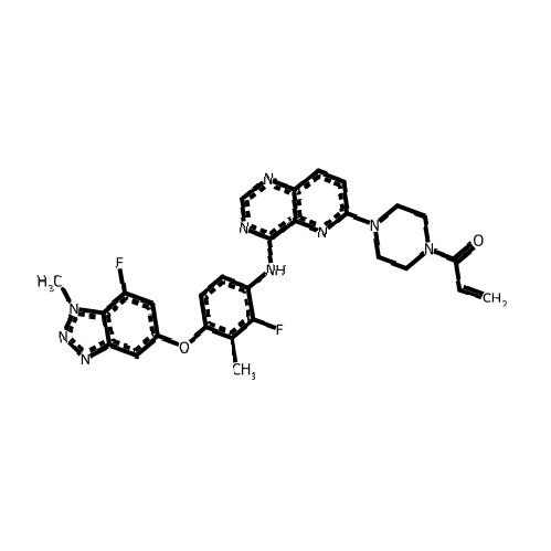 C=CC(=O)N1CCN(c2ccc3ncnc(Nc4ccc(Oc5cc(F)c6c(c5)nnn6C)c(C)c4F)c3n2)CC1